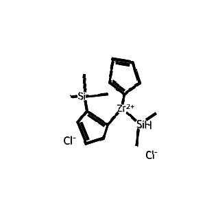 C[SiH](C)[Zr+2]([C]1=CC=CC1)[C]1=C([Si](C)(C)C)C=CC1.[Cl-].[Cl-]